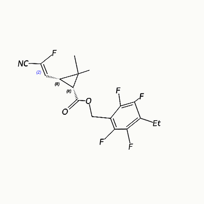 CCc1c(F)c(F)c(COC(=O)[C@@H]2[C@H](/C=C(\F)C#N)C2(C)C)c(F)c1F